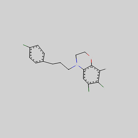 CCOC(=O)c1c(F)c(Cl)cc2c1OCCN2CCCc1ccc(F)cc1